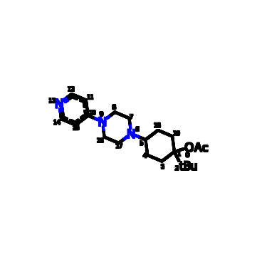 CC(=O)OC1(C(C)(C)C)CCC(N2CCN(c3ccncc3)CC2)CC1